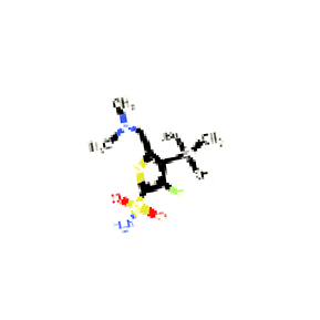 CN(C)Cc1sc(S(N)(=O)=O)c(F)c1[Si](C)(C)C(C)(C)C